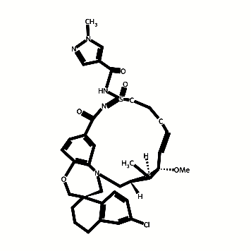 CO[C@@]12/C=C/CCCS(=O)(NC(=O)c3cnn(C)c3)=NC(=O)c3ccc4c(c3)N(C[C@H](C1)[C@H]2C)C[C@@]1(CCCc2cc(Cl)ccc21)CO4